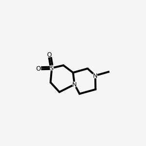 CN1CCN2CCS(=O)(=O)CC2C1